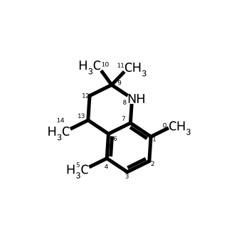 Cc1ccc(C)c2c1NC(C)(C)CC2C